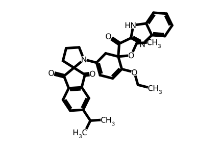 CCOC1=CC=C(N2CCCC23C(=O)c2ccc(C(C)C)cc2C3=O)CC1(OCC)C(=O)c1nc2ccccc2[nH]1